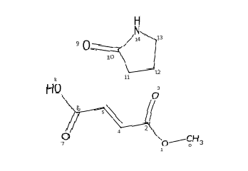 COC(=O)C=CC(=O)O.O=C1CCCN1